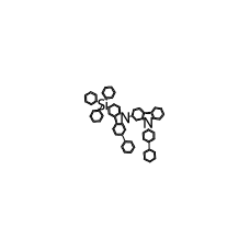 c1ccc(-c2ccc(-n3c4ccccc4c4ccc(-n5c6ccc([Si](c7ccccc7)(c7ccccc7)c7ccccc7)cc6c6ccc(-c7ccccc7)cc65)cc43)cc2)cc1